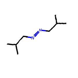 CC(C)CN=NCC(C)C